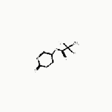 CCC(C)(C)C(=O)OC1CCC(=O)OC1